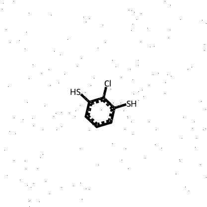 Sc1cccc(S)c1Cl